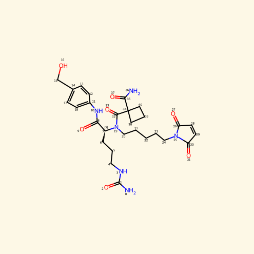 NC(=O)NCCC[C@@H](C(=O)Nc1ccc(CO)cc1)N(CCCCCN1C(=O)C=CC1=O)C(=O)C1(C(N)=O)CCC1